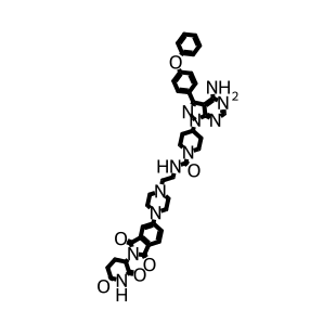 Nc1ncnc2c1c(-c1ccc(Oc3ccccc3)cc1)nn2C1CCN(C(=O)NCCN2CCN(c3ccc4c(c3)C(=O)N(C3CCC(=O)NC3=O)C4=O)CC2)CC1